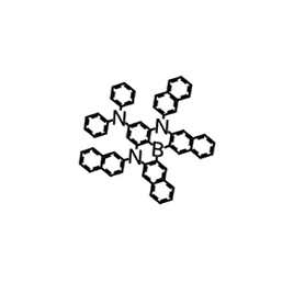 c1ccc(N(c2ccccc2)c2cc3c4c(c2)N(c2ccc5ccccc5c2)c2cc5ccccc5cc2B4c2cc4ccccc4cc2N3c2ccc3ccccc3c2)cc1